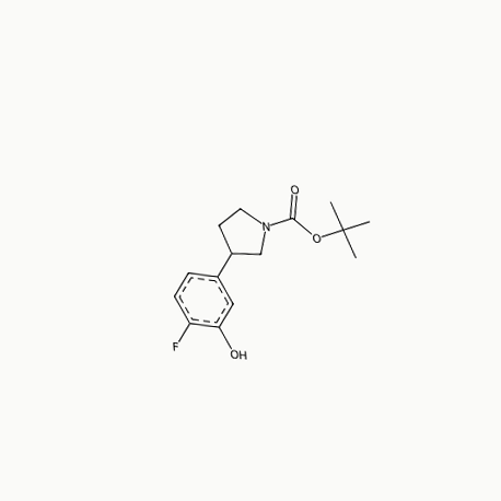 CC(C)(C)OC(=O)N1CCC(c2ccc(F)c(O)c2)C1